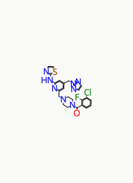 O=C(c1cccc(Cl)c1F)N1CCN(Cc2cc(Cn3nccn3)cc(Nc3nccs3)n2)CC1